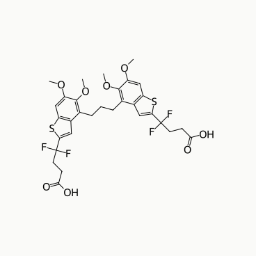 COc1cc2sc(C(F)(F)CCC(=O)O)cc2c(CCCc2c(OC)c(OC)cc3sc(C(F)(F)CCC(=O)O)cc23)c1OC